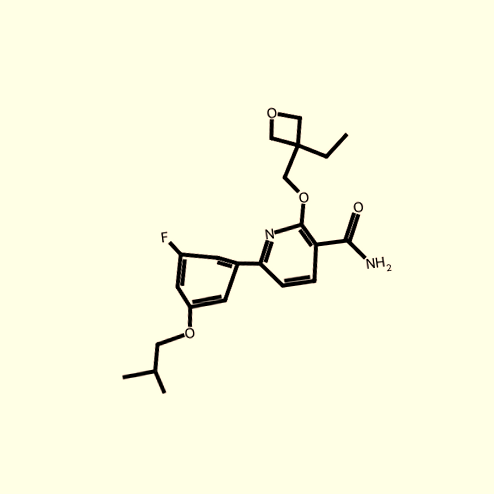 CCC1(COc2nc(-c3cc(F)cc(OCC(C)C)c3)ccc2C(N)=O)COC1